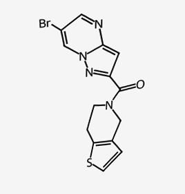 O=C(c1cc2ncc(Br)cn2n1)N1CCc2sccc2C1